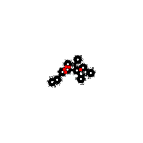 c1ccc(-c2cc(-c3ccccc3-n3c4ccccc4c4ccccc43)ccc2N(c2ccccc2)c2cccc(-c3ccc(-c4ccc5ccccc5c4)cc3)c2)cc1